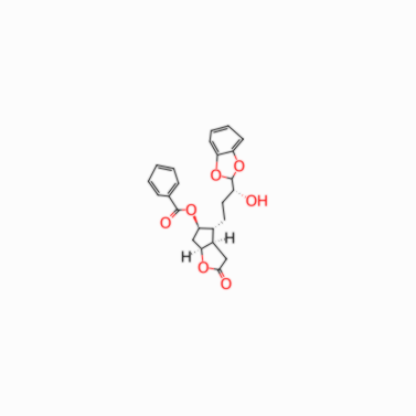 O=C1C[C@@H]2[C@@H](CC[C@@H](O)C3Oc4ccccc4O3)[C@H](OC(=O)c3ccccc3)C[C@@H]2O1